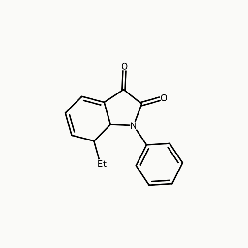 CCC1C=CC=C2C(=O)C(=O)N(c3ccccc3)C21